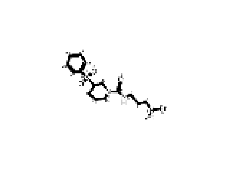 CCN(CC)CCCNC(=O)N1CCCC(S(=O)(=O)c2ccccc2)C1